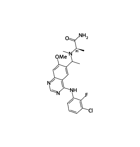 COc1cc2ncnc(Nc3cccc(Cl)c3F)c2cc1C(C)N(C)[C@H](C)C(N)=O